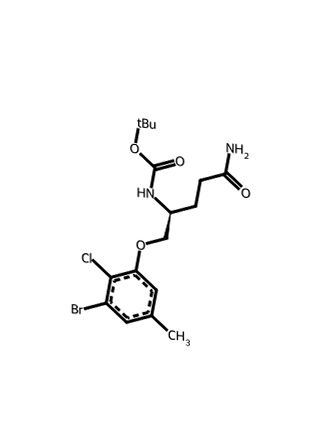 Cc1cc(Br)c(Cl)c(OC[C@H](CCC(N)=O)NC(=O)OC(C)(C)C)c1